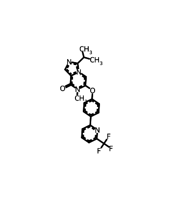 CC(C)c1ncc2c(=O)n(C)c(Oc3ccc(-c4cccc(C(F)(F)F)n4)cc3)cn12